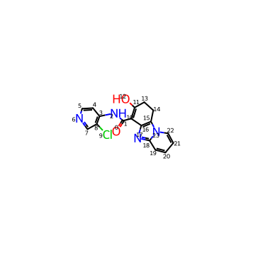 O=C(Nc1ccncc1Cl)C1=C(O)CCc2c1nc1ccccn21